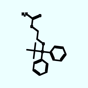 CC(C)(C)[Si](OCCOC(N)=O)(c1ccccc1)c1ccccc1